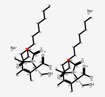 CCCCCCCCCC(C)C(C)=C(C)[C@](CS)(C(=O)[O-])N1C(=O)CCC1=O.CCCCCCCCCC(C)C(C)=C(C)[C@](CS)(C(=O)[O-])N1C(=O)CCC1=O.[Na+].[Na+]